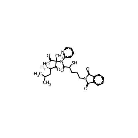 CC(C)CC(N)C(=O)C(C)(C(=O)O)N(C(=O)C(S)CCCN1C(=O)c2ccccc2C1=O)c1ccccn1